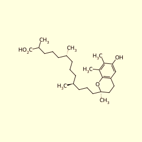 Cc1c(O)cc2c(c1C)O[C@](C)(CCC[C@@H](C)CCC[C@@H](C)CCCC(C)C(=O)O)CC2